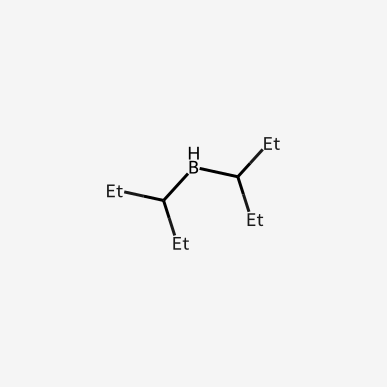 CCC(BC(CC)CC)CC